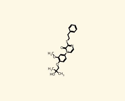 COc1cc(-n2ccnc(SCCc3ccccc3)c2=O)ccc1OCC(C)(C)O